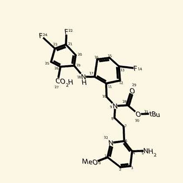 COc1ccc(N)c(CCN(Cc2cc(F)ccc2Nc2cc(F)c(F)cc2C(=O)O)C(=O)OC(C)(C)C)n1